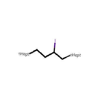 CCCCCCCCCC(I)CCCCCCCC